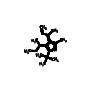 C=C/C(C)=c1\c(=C(/C)CC)c(C(C)(C)C)nn1C